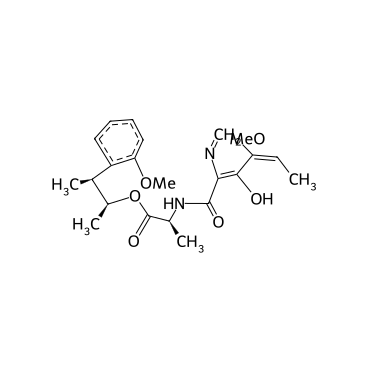 C=N/C(C(=O)N[C@@H](C)C(=O)O[C@@H](C)[C@@H](C)c1ccccc1OC)=C(O)\C(=C/C)OC